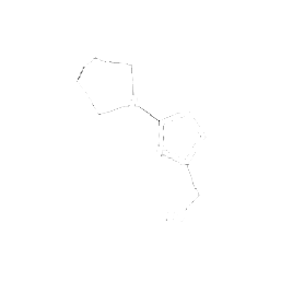 OCc1csc(N2CCCC2)n1